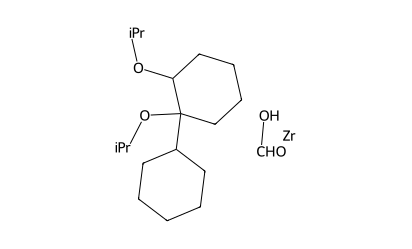 CC(C)OC1CCCCC1(OC(C)C)C1CCCCC1.O=CO.[Zr]